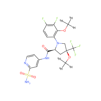 [2H]C([2H])([2H])Oc1c(N2C[C@](OC([2H])([2H])[2H])(C(F)(F)F)C[C@H]2C(=O)Nc2ccnc(S(N)(=O)=O)c2)ccc(F)c1F